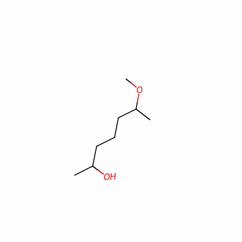 COC(C)CCCC(C)O